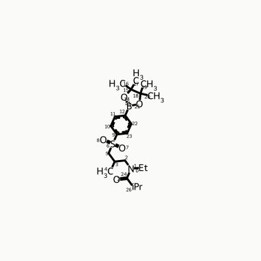 CCN(CC(C)CS(=O)(=O)c1ccc(B2OC(C)(C)C(C)(C)O2)cc1)C(=O)C(C)C